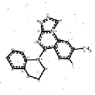 Cc1cc2c(cc1F)c(N1CCCc3ccccc31)nc1nncn12